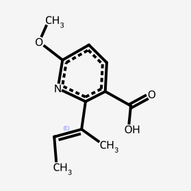 C/C=C(\C)c1nc(OC)ccc1C(=O)O